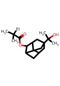 CCC(C)(C)C(=O)OC1C2CC3CC1CC(C(C)(C)O)(C3)C2